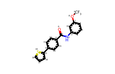 O=C(Nc1cccc(OC(F)(F)F)c1)c1ccc(-c2cccs2)cc1